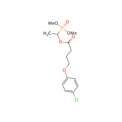 COP(=O)(OC)C(C)OC(=O)CCCOc1ccc(Cl)cc1